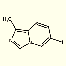 Cc1ncn2cc(I)ccc12